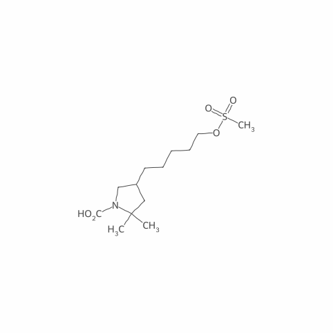 CC1(C)CC(CCCCCOS(C)(=O)=O)CN1C(=O)O